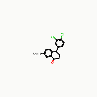 CC(=O)Nc1ccc2c(c1)C(=O)CCC2c1ccc(Cl)c(Cl)c1